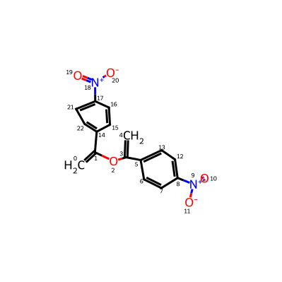 C=C(OC(=C)c1ccc([N+](=O)[O-])cc1)c1ccc([N+](=O)[O-])cc1